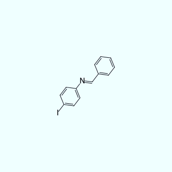 Ic1ccc(N=Cc2ccccc2)cc1